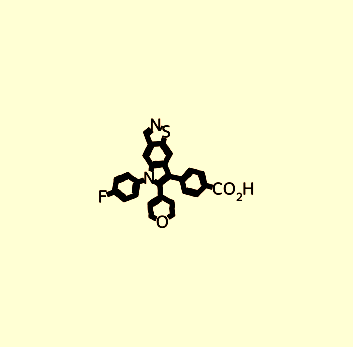 O=C(O)c1ccc(-c2c(C3=CCOCC3)n(-c3ccc(F)cc3)c3cc4cnsc4cc23)cc1